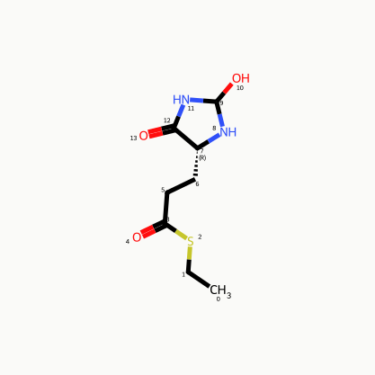 CCSC(=O)CC[C@H]1NC(O)NC1=O